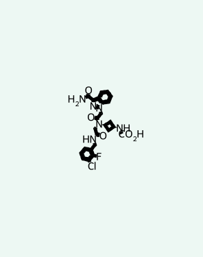 NC(=O)c1nn(CC(=O)N(CC(=O)NCc2cccc(Cl)c2F)[C@H]2C[C@@H](NC(=O)O)C2)c2ccccc12